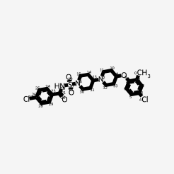 Cc1cc(Cl)ccc1OC1CCN(C2CCN(S(=O)(=O)NC(=O)c3ccc(Cl)cc3)CC2)CC1